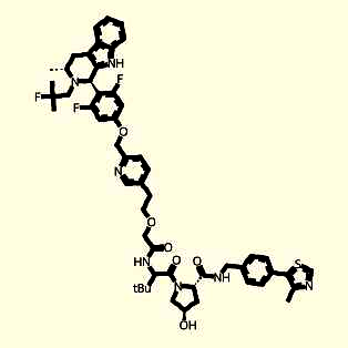 Cc1ncsc1-c1ccc(CNC(=O)[C@@H]2C[C@@H](O)CN2C(=O)C(NC(=O)COCCc2ccc(COc3cc(F)c([C@@H]4c5[nH]c6ccccc6c5C[C@@H](C)N4CC(C)(C)F)c(F)c3)nc2)C(C)(C)C)cc1